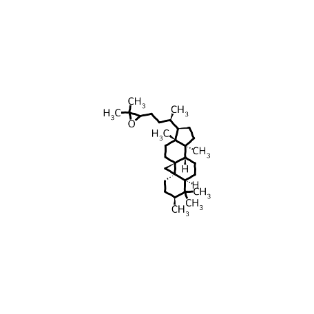 C[C@H](CCC1OC1(C)C)[C@H]1CC[C@@]2(C)[C@@H]3CC[C@H]4C(C)(C)[C@@H](C)CC[C@@]45C[C@@]35CC[C@]12C